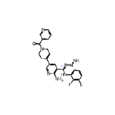 N=N/N=C(\Nc1cccc(F)c1F)c1cc(C2=CCN(C(=O)c3cccnc3)CC2)cnc1N